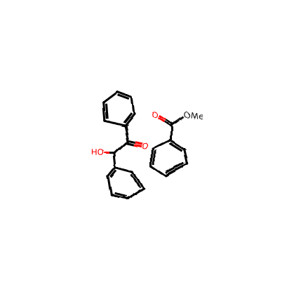 COC(=O)c1ccccc1.O=C(c1ccccc1)C(O)c1ccccc1